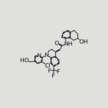 O=C(/C=C1\CCN(c2ncc(CO)cc2Cl)c2cc(C(F)(F)F)ccc21)Nc1cccc2c1CC(O)CC2